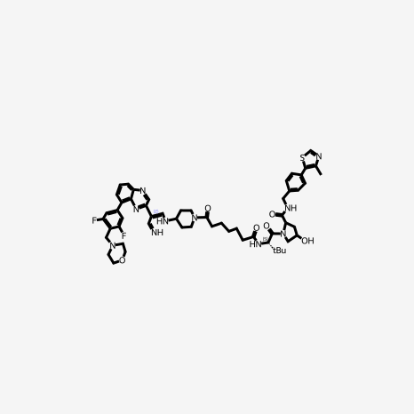 Cc1ncsc1-c1ccc(CNC(=O)C2CC(O)CN2C(=O)[C@@H](NC(=O)CCCCCC(=O)N2CCC(N/C=C(\C=N)c3cnc4cccc(-c5cc(F)c(CN6CCOCC6)c(F)c5)c4n3)CC2)C(C)(C)C)cc1